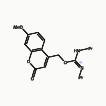 COc1ccc2c(CO/C(=N\C(C)C)NC(C)C)cc(=O)oc2c1